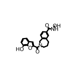 O=C(NO)c1ccc2c(c1)CCCN(C(=O)c1cc3cccc(O)c3o1)C2